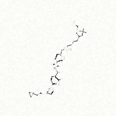 CC(C)(C)OC(=O)N1CC(CCCCNCc2ccc(S(=O)(=O)NC(=O)c3ccc(-n4ccc(OCCC5(C(F)(F)F)CC5)n4)nc3Cl)cn2)CC1(C)C